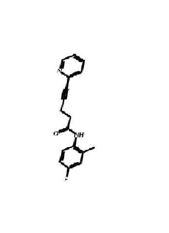 Cc1cc(F)ccc1NC(=O)CCC#Cc1ccccn1